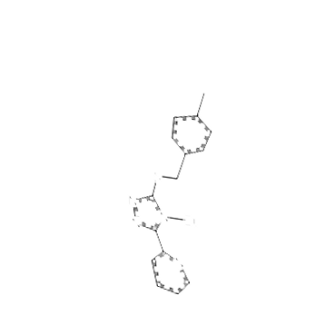 CCn1c(SCc2ccc(C)cc2)nnc1-c1ccccn1